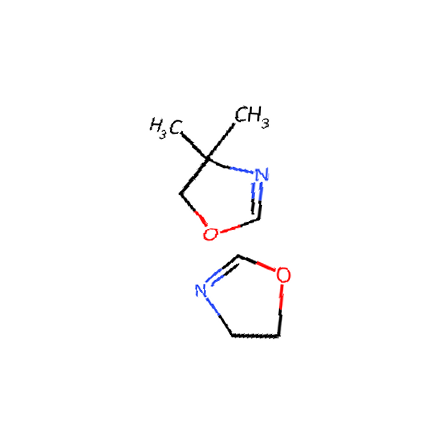 C1=NCCO1.CC1(C)COC=N1